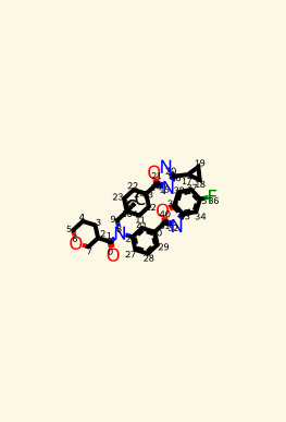 O=C(C1CCCOC1)N(CC12CCC(c3nc(C4CC4)no3)(CC1)CC2)c1cccc(-c2nc3cc(F)ccc3o2)c1